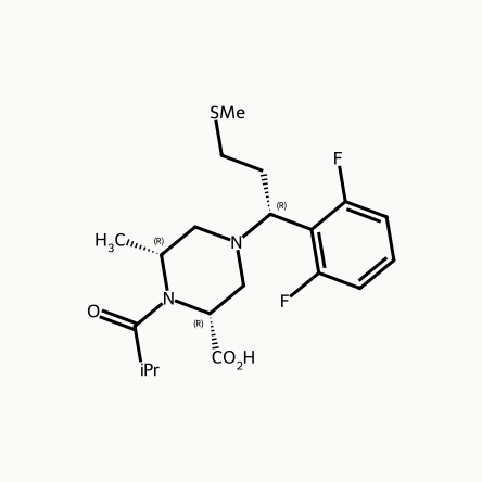 CSCC[C@H](c1c(F)cccc1F)N1C[C@@H](C)N(C(=O)C(C)C)[C@@H](C(=O)O)C1